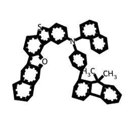 CC1(C)c2ccccc2-c2cccc(-c3ccc(N(c4ccc5sc6ccc7c8cc9ccccc9cc8oc7c6c5c4)c4cccc5ccccc45)cc3)c21